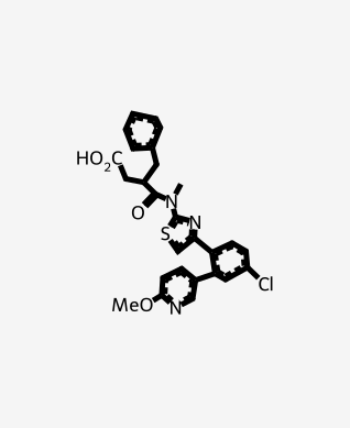 COc1ccc(-c2cc(Cl)ccc2-c2csc(N(C)C(=O)C(CC(=O)O)Cc3ccccc3)n2)cn1